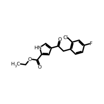 CCOC(=O)c1cc(C(=O)Cc2ccc(F)cc2Cl)c[nH]1